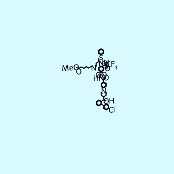 COC(=O)CCCCCN(C)CCC(CSc1ccccc1)Nc1ccc(S(=O)(=O)NC(=O)c2ccc(N3CCC(C(O)c4ccccc4-c4ccc(Cl)cc4)CC3)cc2)cc1S(=O)(=O)C(F)(F)F